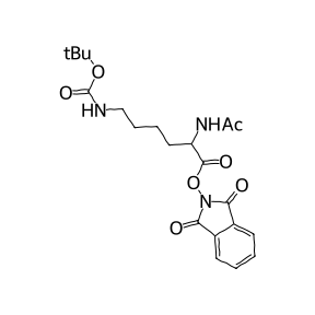 CC(=O)NC(CCCCNC(=O)OC(C)(C)C)C(=O)ON1C(=O)c2ccccc2C1=O